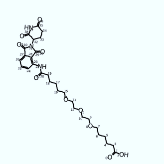 O=C(O)CCCCCOCCOCCOCCCCCC(=O)Nc1cccc2c1C(=O)N(C1CCC(=O)NC1=O)C2=O